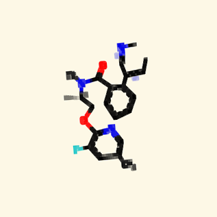 C/C=C(\C=N/C)c1ccccc1C(=O)N(CC)[C@@H](C)COc1ncc(C(F)(F)F)cc1F